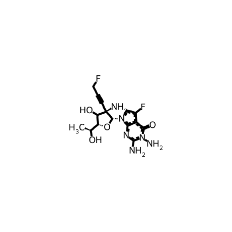 C[C@H](O)[C@H]1O[C@@H](n2cc(F)c3c(=O)n(N)c(N)nc32)[C@@](N)(C#CCF)C1O